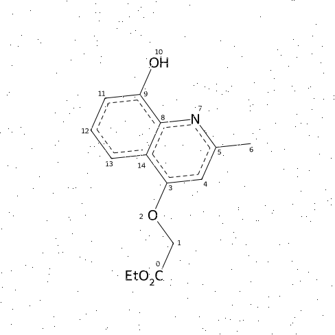 CCOC(=O)COc1cc(C)nc2c(O)cccc12